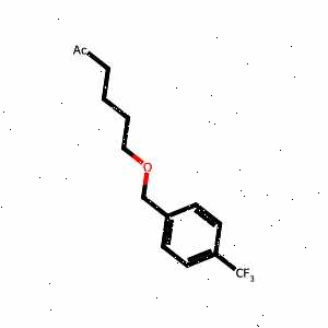 CC(=O)CCCCOCc1ccc(C(F)(F)F)cc1